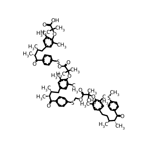 CSc1ccc(C(=O)[C@H](C)[C@@H](C)CCc2cc(C)c(OC(C)(C)C(=O)OCSc3ccc(C(=O)[C@@H](C)[C@H](C)Cc4cc(C)c(OC(C)(C)C(=O)OSc5ccc(C(=O)[C@H](C)[C@@H](C)Cc6cc(C)c(OC(C)(C)C(=O)O)c(C)c6)cc5)c(C)c4)cc3)c(C)c2)cc1